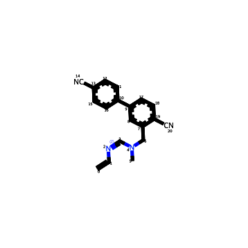 C=C/N=C\N(C)Cc1cc(-c2ccc(C#N)cc2)ccc1C#N